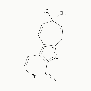 CC(C)/C=C\c1c(C=N)oc2c1C=CC(C)(C)C=C2